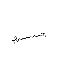 C=C(C)C(=O)OCCCCCCCCCCCCC(F)(F)F